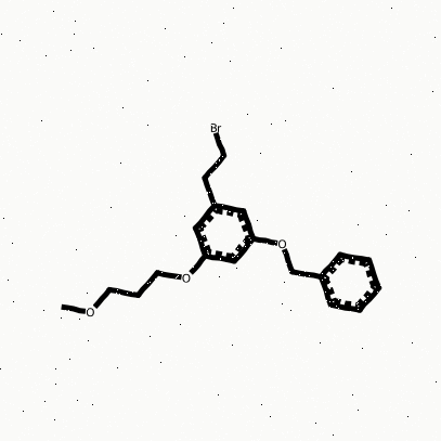 COCCCOc1cc(CCBr)cc(OCc2ccccc2)c1